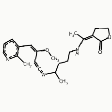 CO/C(C=C=NC(C)CCCN/C(C)=C1/CCOC1=O)=C/c1cccnc1C